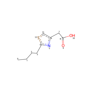 CCCCc1nc(CC(=O)O)cs1